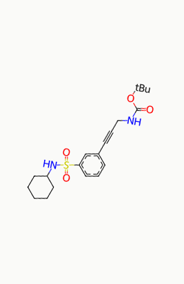 CC(C)(C)OC(=O)NCC#Cc1cccc(S(=O)(=O)NC2CCCCC2)c1